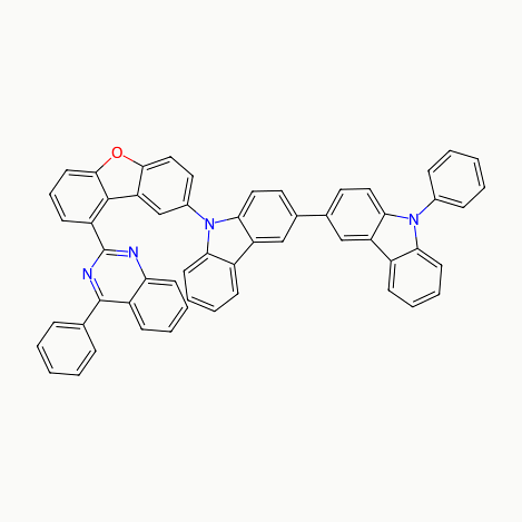 c1ccc(-c2nc(-c3cccc4oc5ccc(-n6c7ccccc7c7cc(-c8ccc9c(c8)c8ccccc8n9-c8ccccc8)ccc76)cc5c34)nc3ccccc23)cc1